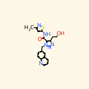 Cc1cc(NC(=O)c2c(CCO)nnn2Cc2ccc3ncccc3c2)sn1